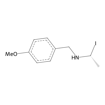 COc1ccc(CN[C@@H](C)I)cc1